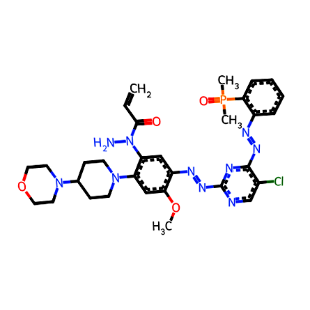 C=CC(=O)N(N)c1cc(N=Nc2ncc(Cl)c(N=Nc3ccccc3P(C)(C)=O)n2)c(OC)cc1N1CCC(N2CCOCC2)CC1